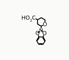 O=C(O)C1CCOC(N2Oc3ccccc3O2)C1